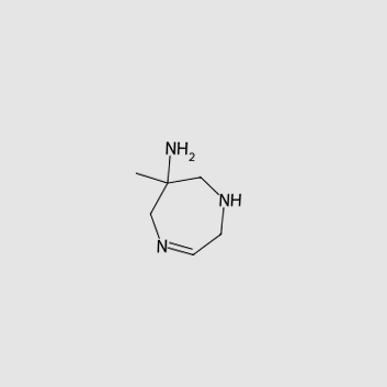 CC1(N)CN=CCNC1